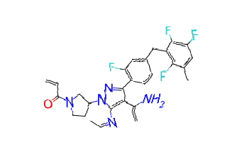 C=CC(=O)N1CCC(n2nc(-c3ccc(Cc4c(F)c(C)cc(F)c4F)cc3F)c(C(=C)N)c2/N=C\C)C1